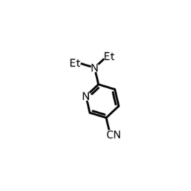 CCN(CC)c1ccc(C#N)cn1